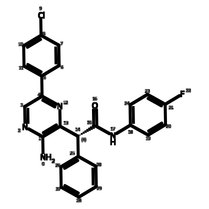 Nc1ncc(-c2ccc(Cl)cc2)nc1[C@H](C(=O)Nc1ccc(F)cc1)c1ccccc1